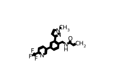 C=CC(=O)NCc1ccc(-c2ccc(C(F)(F)F)nc2)cc1-c1ccn(C)n1